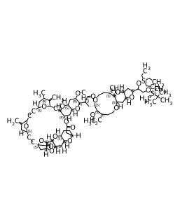 C=C1C[C@@H]2CC[C@@]34C[C@H]5O[C@H]6[C@@H](O3)[C@H]3O[C@H](CC[C@@H]3O[C@H]6[C@H]5O4)CC(=O)O[C@@H]3C[C@@H]4O[C@H](C(C=O)C[C@@H]5OCC[C@H](C)[C@@H]6O[C@@H]7C[C@@H](C(CO[Si](C)(C)C(C)(C)C)O[Si](CC)(CC)CC)O[C@@H]7C[C@@H]6OCC[C@H](C)[C@@H]5OC)[C@H](OC)C[C@@H]4O[C@H]3CC3O[C@@H](CCC1O2)C[C@@H](C)C3=C